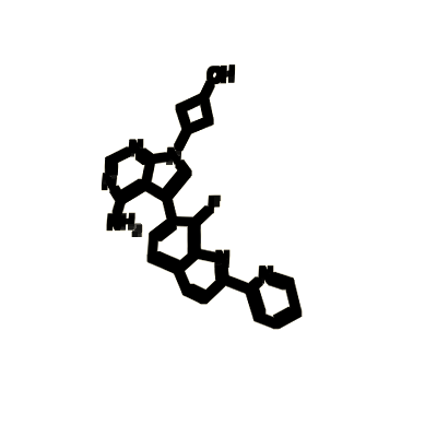 Nc1ncnc2c1c(-c1ccc3ccc(-c4ccccn4)nc3c1F)cn2C1CC(O)C1